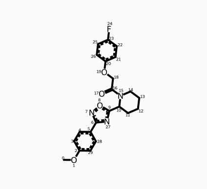 COc1ccc(-c2noc(C3CCCCN3C(=O)COc3ccc(F)cc3)n2)cc1